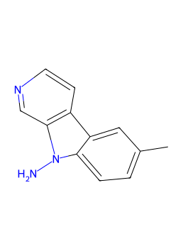 Cc1ccc2c(c1)c1ccncc1n2N